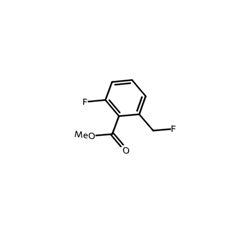 COC(=O)c1c(F)cccc1CF